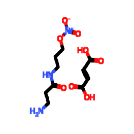 NCCC(=O)NCCCO[N+](=O)[O-].O=C(O)C=CC(=O)O